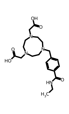 CCNC(=O)c1ccc(CN2CCN(CC(=O)O)CCN(CC(=O)O)CC2)cc1